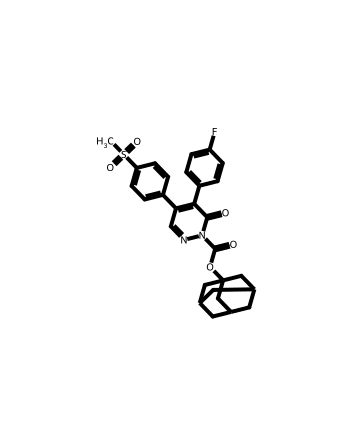 CS(=O)(=O)c1ccc(-c2cnn(C(=O)OC34CC5CC(CC(C5)C3)C4)c(=O)c2-c2ccc(F)cc2)cc1